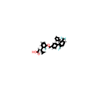 CC1(C)CCC[C@H]1c1cc(COc2cccc([C@H](CC(=O)O)C3CC3)c2F)ccc1-c1cc(C(F)F)ccc1F